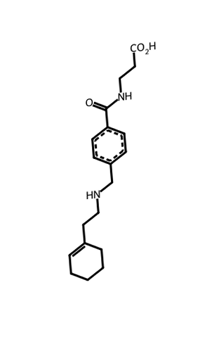 O=C(O)CCNC(=O)c1ccc(CNCCC2=CCCCC2)cc1